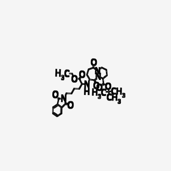 CCOC(=O)C(CCCCN1C(=O)c2ccccc2C1=O)NC1CCC(=O)N2CCCC(C(=O)OC(C)(C)C)N2C1=O